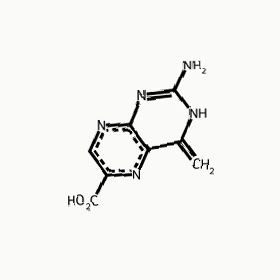 C=C1NC(N)=Nc2ncc(C(=O)O)nc21